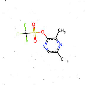 Cc1cnc(OS(=O)(=O)C(F)(F)F)c(C)n1